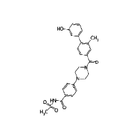 Cc1cc(C(=O)N2CCN(c3ccc(C(=O)NS(C)(=O)=O)cc3)CC2)ccc1-c1cccc(O)c1